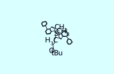 CC1=Cc2c(-c3ccccc3)cccc2C1[Si](C)(CCCCCCOC(C)(C)C)C1C(C)=Cc2c(-c3ccccc3)cccc21